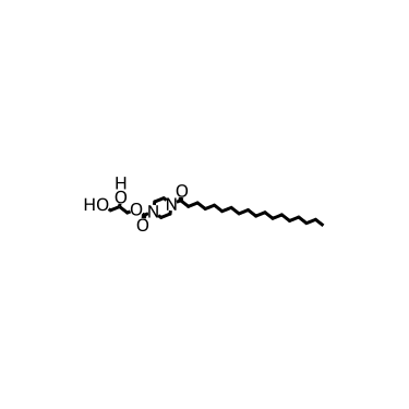 CCCCCCCCCCCCCCCCCC(=O)N1CCN(C(=O)OCC(O)CO)CC1